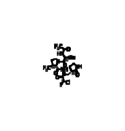 CC(C)(C)[C@H](NC(=O)C(F)(F)F)C(=O)N1CC[C@H](C(F)(F)F)[C@H]1C(=O)NN(C[C@@H]1CCNC1=O)C(=O)[C@H](F)Cl